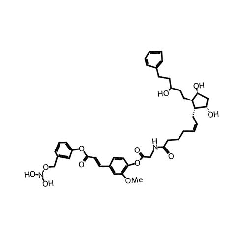 COc1cc(/C=C/C(=O)Oc2cccc(CON(O)O)c2)ccc1OC(=O)CNC(=O)CCC/C=C\C[C@@H]1[C@@H](CC[C@@H](O)CCc2ccccc2)[C@H](O)C[C@@H]1O